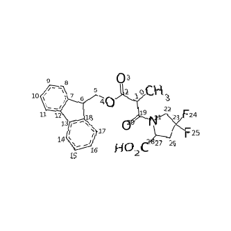 CC(C(=O)OCC1c2ccccc2-c2ccccc21)C(=O)N1CC(F)(F)CC1C(=O)O